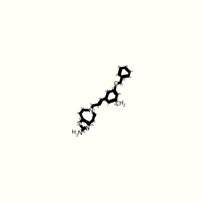 Cc1cc(C=CCN2CCc3nc(N)sc3CC2)cc(OCc2ccccc2)c1